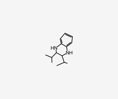 CC(C)C1Nc2ccccc2NC1C(C)C